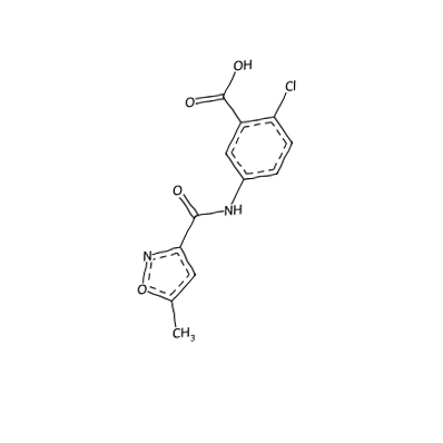 Cc1cc(C(=O)Nc2ccc(Cl)c(C(=O)O)c2)no1